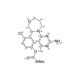 CNC(=O)Oc1ccc(Cl)c(C2COCCCN2c2cc(C)nc(N)n2)c1